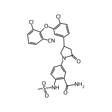 CS(=O)(=O)Nc1ccc(N2CC(c3ccc(Cl)c(Oc4c(Cl)cccc4C#N)c3)CC2=O)cc1C(N)=O